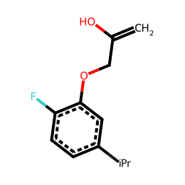 C=C(O)COc1cc(C(C)C)ccc1F